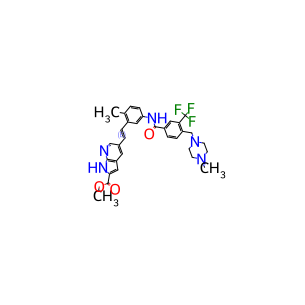 COC(=O)c1cc2cc(/C=C/c3cc(NC(=O)c4ccc(CN5CCN(C)CC5)c(C(F)(F)F)c4)ccc3C)cnc2[nH]1